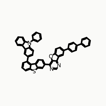 c1ccc(-c2ccc(-c3ccc4oc5c(-c6ccc7c(c6)sc6cccc(-c8ccc9c(c8)c8ccccc8n9-c8ccccc8)c67)ncnc5c4c3)cc2)cc1